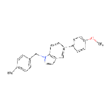 CC(C)(C)c1ccc(Cn2ccc3cc(-c4ccc(OC(F)(F)F)cc4)ccc32)cc1